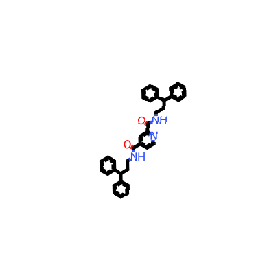 O=C(NCCC(c1ccccc1)c1ccccc1)c1ccnc(C(=O)NCCC(c2ccccc2)c2ccccc2)c1